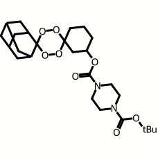 CC(C)(C)OC(=O)N1CCN(C(=O)OC2CCCC3(C2)OOC2(OO3)C3CC4CC(C3)CC2C4)CC1